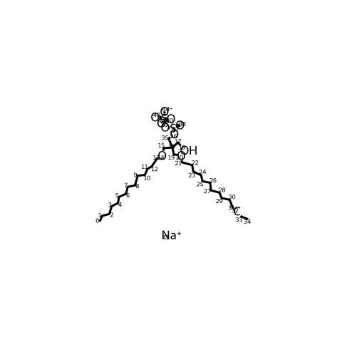 CCCCCCCCCCCCCCOCC(CO)(COCCCCCCCCCCCCCC)COS(=O)(=O)OS(=O)(=O)[O-].[Na+]